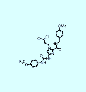 COc1ccc(CNC(=O)c2nc(NC(=O)Nc3ccc(OC(F)(F)F)cc3)cn2CC=C(Cl)Cl)cc1